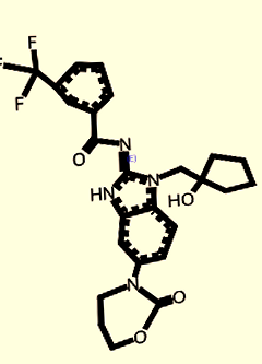 O=C(/N=c1\[nH]c2cc(N3CCCOC3=O)ccc2n1CC1(O)CCCC1)c1cccc(C(F)(F)F)c1